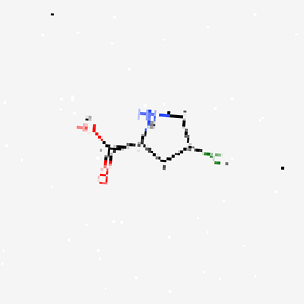 O=C(O)[C@@H]1CC(Cl)CN1